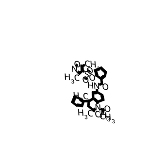 CC(=O)N1c2ccc(NC(=O)c3ccccc3OS(=O)(=O)c3c(C)noc3C)cc2C(C)(c2ccccc2)CC1(C)C